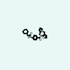 O=C(CC1CCCCC1)Nc1ccc(C(=O)N2Cc3cccn3Cc3ccoc32)cc1